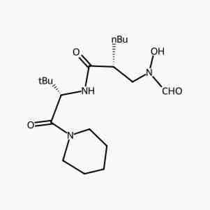 CCCC[C@H](CN(O)C=O)C(=O)N[C@H](C(=O)N1CCCCC1)C(C)(C)C